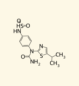 CC(C)c1cnc(N(C(N)=O)c2ccc(N[SH](=O)=O)cc2)s1